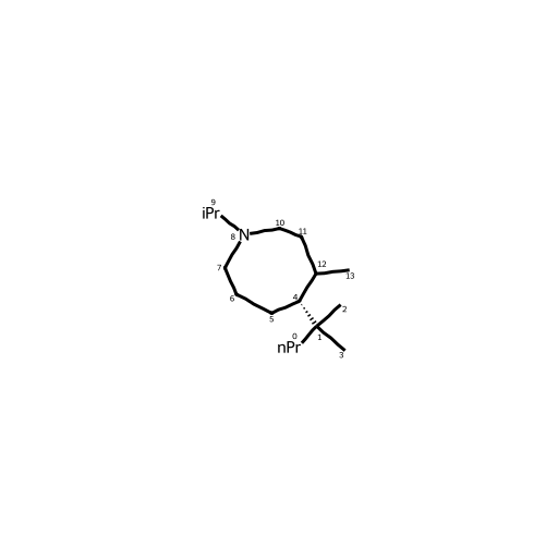 CCCC(C)(C)[C@@H]1CCCN(C(C)C)CCC1C